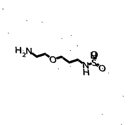 NCCOCCCN[SH](=O)=O